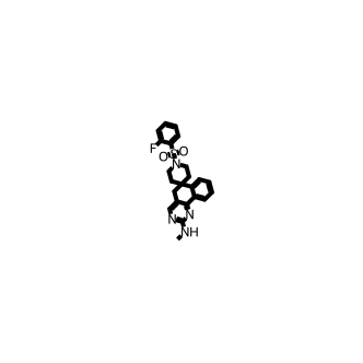 CNc1ncc2c(n1)-c1ccccc1C1(CCN(S(=O)(=O)c3ccccc3F)CC1)C2